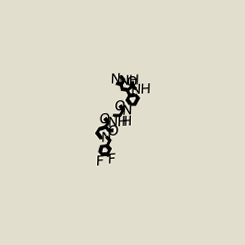 O=C(CCNC(=O)c1cccn(Cc2ccc(F)c(F)c2)c1=O)Nc1ccc2c(c1)C(=Cc1cnc[nH]1)C(=O)N2